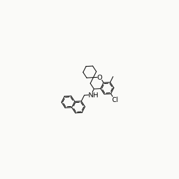 Cc1cc(Cl)cc2c1OC1(CCCCC1)CC2NCc1cccc2ccccc12